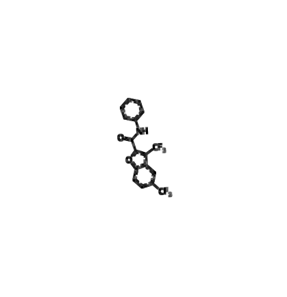 O=C(Nc1ccccc1)c1oc2ccc(C(F)(F)F)cc2c1C(F)(F)F